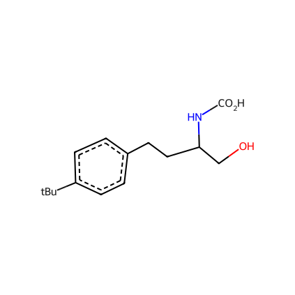 CC(C)(C)c1ccc(CCC(CO)NC(=O)O)cc1